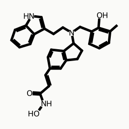 Cc1cccc(CN(CCc2c[nH]c3ccccc23)C2CCc3cc(C=CC(=O)NO)ccc32)c1O